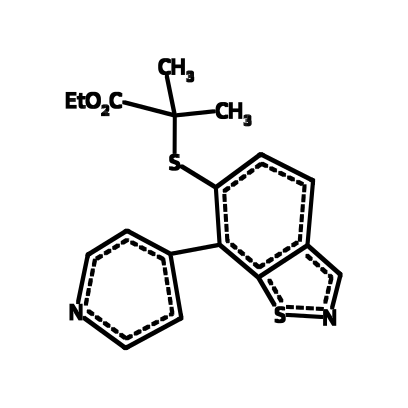 CCOC(=O)C(C)(C)Sc1ccc2cnsc2c1-c1ccncc1